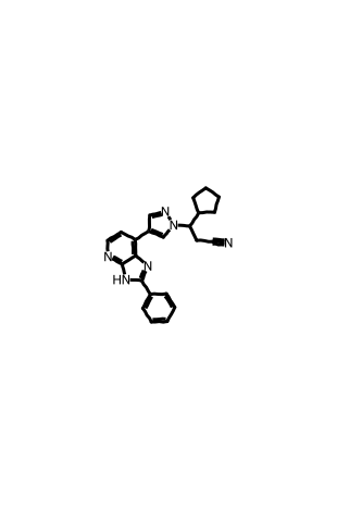 N#CCC(C1CCCC1)n1cc(-c2ccnc3[nH]c(-c4ccccc4)nc23)cn1